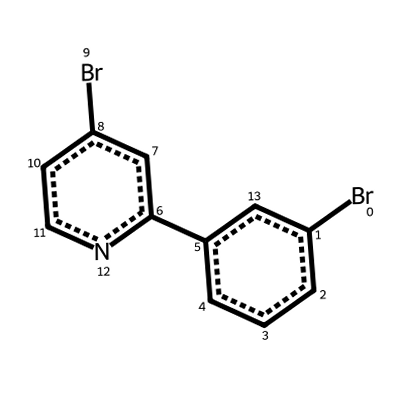 Brc1cccc(-c2cc(Br)ccn2)c1